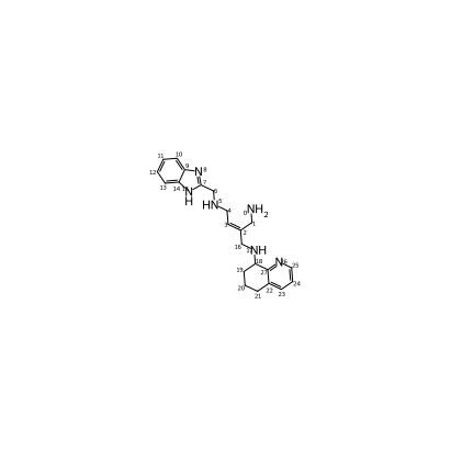 NCC(=CCNCc1nc2ccccc2[nH]1)CNC1CCCc2cccnc21